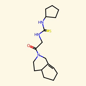 O=C(CNC(=S)NC1CCCC1)N1CCC2CCCC=C2C1